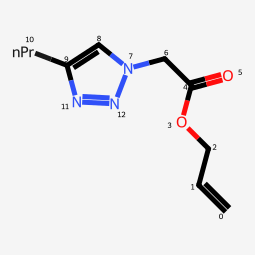 C=CCOC(=O)Cn1cc(CCC)nn1